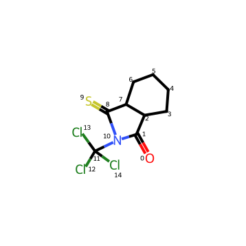 O=C1C2CCCCC2C(=S)N1C(Cl)(Cl)Cl